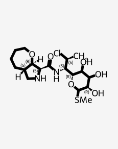 CSC1O[C@H]([C@H](NC(=O)[C@H]2NC[C@@H]3CCCCO[C@H]32)[C@H](C)Cl)C(O)C(O)[C@H]1O